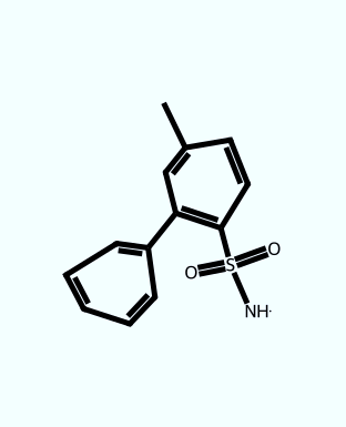 Cc1ccc(S([NH])(=O)=O)c(-c2ccccc2)c1